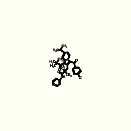 CC(C)c1ccn2c(C(=O)c3ccc(Cl)cc3)c(CC(C)(C)C(=O)Nc3ccncc3)c(C(=O)C(C)(C)C)c2c1